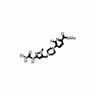 CCNC(=O)Nc1cc(CN2CCN(c3ccc(C(=O)NC)nc3F)CC2)n(C)n1